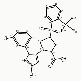 Cc1cc(N2CC(S(=O)(=O)c3ccccc3C(F)(F)F)CC2C(=O)O)n(-c2cccc(Cl)c2)n1